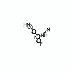 CN(C)CCCNc1cc(-c2ccc(N3CCNCC3)cc2)nc2ccc(F)cc12